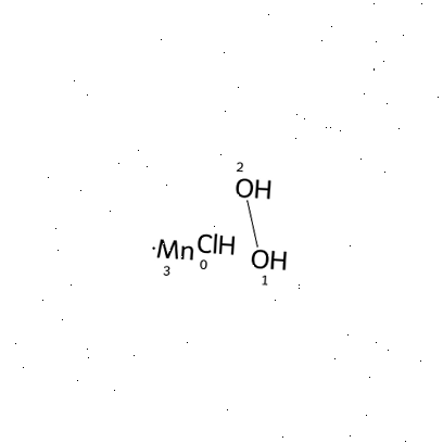 Cl.OO.[Mn]